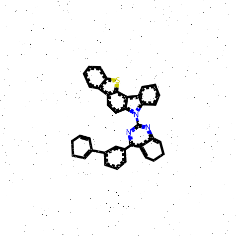 C1=CC(c2cccc(-c3nc(-n4c5ccccc5c5c6sc7ccccc7c6ccc54)nc4c3=CCCC=4)c2)=CCC1